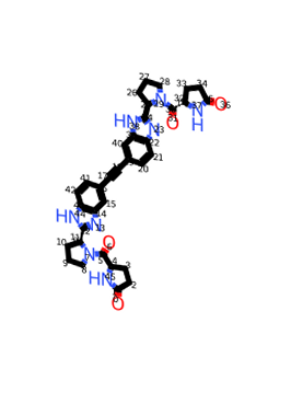 O=C1CCC(C(=O)N2CCC[C@H]2c2nc3cc(C#Cc4ccc5nc(C6CCCN6C(=O)[C@@H]6CCC(=O)N6)[nH]c5c4)ccc3[nH]2)N1